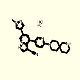 Cl.Cl.Cn1cc(-c2cc(-c3ccc(N4CCC5(CCCNC5)CC4)nc3)c3c(C#N)cnn3c2)cn1